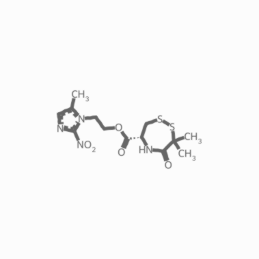 Cc1cnc([N+](=O)[O-])n1CCOC(=O)[C@@H]1CSSC(C)(C)C(=O)N1